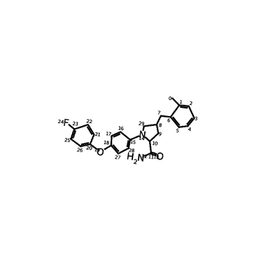 Cc1ccccc1CC1CC(C(N)=O)N(c2ccc(Oc3ccc(F)cc3)cc2)C1